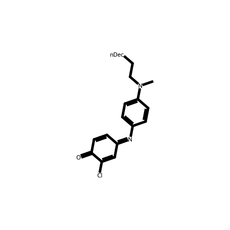 CCCCCCCCCCCCN(C)c1ccc(N=C2C=CC(=O)C(Cl)=C2)cc1